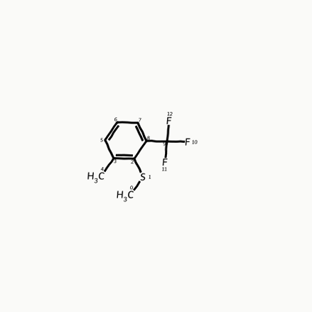 CSc1c(C)cccc1C(F)(F)F